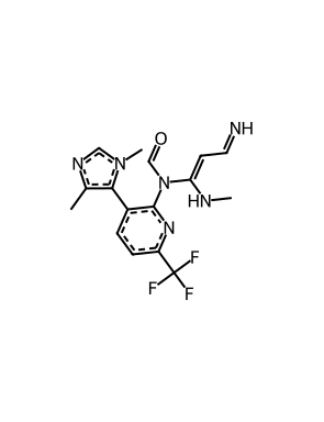 CN/C(=C\C=N)N(C=O)c1nc(C(F)(F)F)ccc1-c1c(C)ncn1C